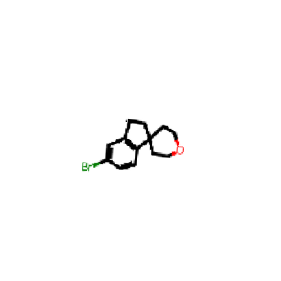 Brc1ccc2c(c1)[CH]CC21CCOCC1